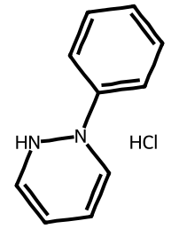 C1=CNN(c2ccccc2)C=C1.Cl